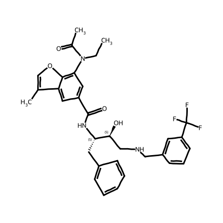 CCN(C(C)=O)c1cc(C(=O)N[C@@H](Cc2ccccc2)[C@@H](O)CNCc2cccc(C(F)(F)F)c2)cc2c(C)coc12